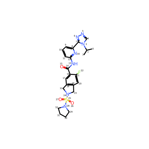 CC(C)n1cnnc1-c1cccc(NC(=O)c2cc3c(cc2F)CN(S(=O)(=O)N2CCCC2)C3)n1